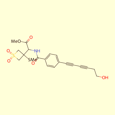 COC(=O)C(NC(=O)c1ccc(C#CC#CCCO)cc1)C1(SC)CS(=O)(=O)C1